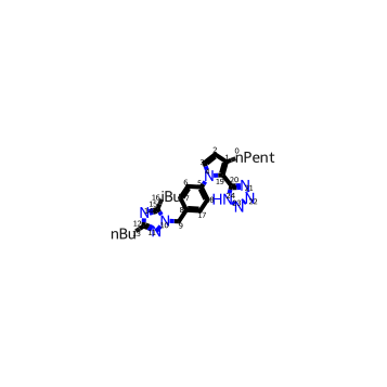 CCCCCc1ccn(-c2ccc(Cn3nc(CCCC)nc3C(C)CC)cc2)c1-c1nnn[nH]1